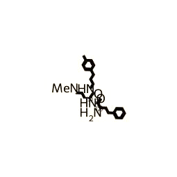 CNCCC[C@H](NC(=O)[C@@H](N)CCc1ccccc1)C(=O)NCCCc1ccc(C)cc1